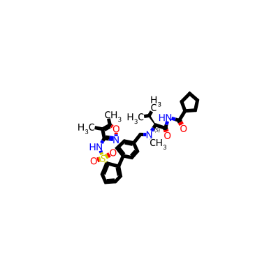 Cc1onc(NS(=O)(=O)c2ccccc2-c2ccc(CN(C)[C@H](C(=O)NC(=O)C3CCCC3)C(C)C)cc2)c1C